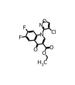 CCOC(=O)c1cn(-c2nocc2Cl)c2cc(F)c(F)cc2c1=O